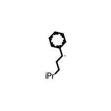 CC(C)CC[CH]c1ccccc1